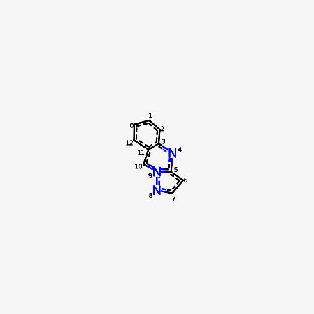 c1ccc2nc3ccnn3cc2c1